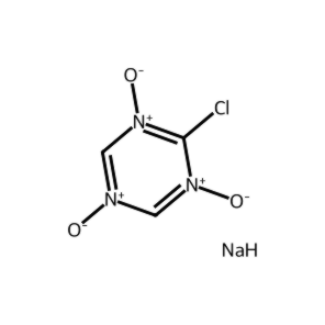 [NaH].[O-][n+]1c[n+]([O-])c(Cl)[n+]([O-])c1